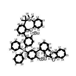 CC(C)(C)c1ccc([Si](c2ccccc2)(c2ccccc2)c2ccc(C(C)(C)C)c(-c3cccc4c3nc3oc5ccccc5n34)c2)cc1-c1cccc2c1Oc1ccccc1[Si](C)(C)C2(C)C